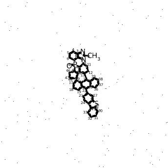 Cc1nc2cccc3c2n1-c1ccc(-c2c4ccccc4c(-c4ccc5c(c4)sc4ccccc45)c4ccccc24)cc1P3(=O)c1ccccc1